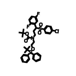 CC(C)(C)OC(=O)N(CCO[Si](c1ccccc1)(c1ccccc1)C(C)(C)C)CCC(c1cc(F)ccc1F)S(=O)(=O)c1ccc(Cl)cc1